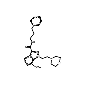 COc1cccc2c(C(=O)NCCCc3ccccc3)nn(CCN3CCOCC3)c12